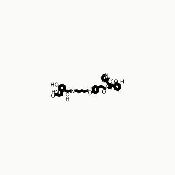 O=C(Cc1ccc(OCCCCCNCC(O)c2ccc(O)c3[nH]c(=O)ccc23)cc1)N1CC(C(=O)O)(c2ccccc2)C1C1CN2CCC1CC2